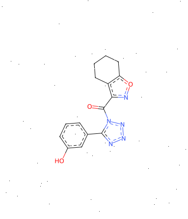 O=C(c1noc2c1CCCC2)n1nnnc1-c1cccc(O)c1